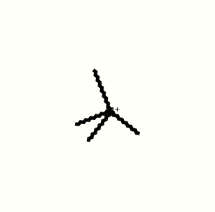 CCCCCCCCCCCCCCCC[N+](CCCCCCCCCCCCC)(CCCCCCCCCCCCC)CCCCCCCCCCCCC